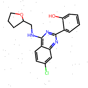 Oc1ccccc1-c1nc(NCC2CCCO2)c2ccc(Cl)cc2n1